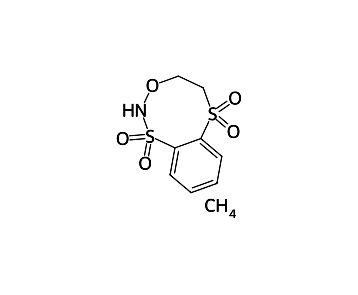 C.O=S1(=O)CCONS(=O)(=O)c2ccccc21